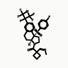 C/N=C\C1(C(=O)N2CC[C@]3(S(=O)(=O)c4ccc(F)cc4)c4ccc(C(F)(C(F)(F)F)C(F)(F)F)cc4CC[C@H]23)CCC1